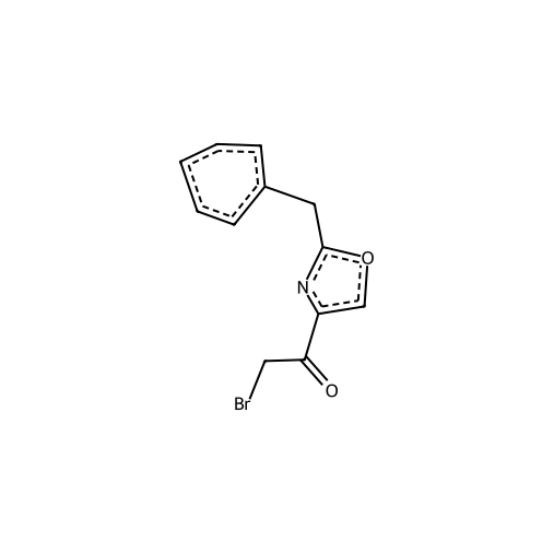 O=C(CBr)c1coc(Cc2ccccc2)n1